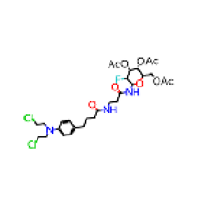 CC(=O)OC[C@H]1O[C@@H](NC(=O)CCNC(=O)CCCc2ccc(N(CCCl)CCCl)cc2)[C@@H](F)[C@@H](OC(C)=O)[C@@H]1OC(C)=O